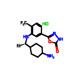 CC[C@H](Nc1cc(-c2n[nH]c(=O)o2)ccc1C(F)(F)F)C1CCC(N)CC1.Cl